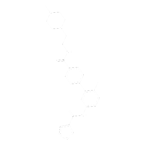 Cc1ccc(NC(=O)c2ccsc2)cc1-c1ccc(C(=O)NCCN2CCN(C)CC2)cc1